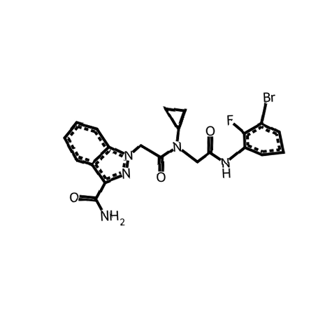 NC(=O)c1nn(CC(=O)N(CC(=O)Nc2cccc(Br)c2F)C2CC2)c2ccccc12